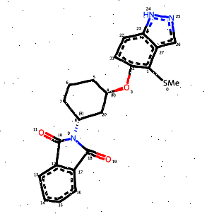 CSc1c(O[C@@H]2CCC[C@@H](N3C(=O)c4ccccc4C3=O)C2)ccc2[nH]ncc12